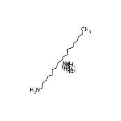 Br.Br.Br.CCCCCCCCCCCCCCCCCCN.N.N